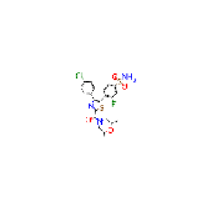 CC1CN(C(=O)c2nc(-c3ccc(Cl)cc3)c(-c3ccc(S(N)(=O)=O)cc3F)s2)CC(C)O1